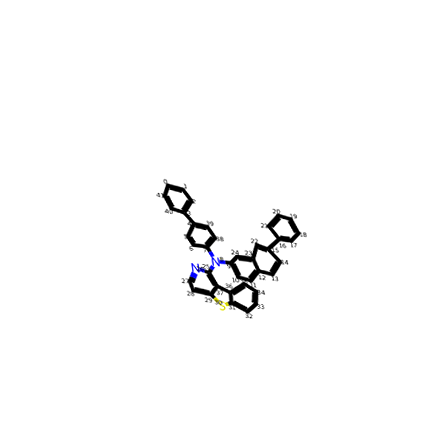 c1ccc(-c2ccc(N(c3ccc4ccc(-c5ccccc5)cc4c3)c3nccc4sc5ccccc5c34)cc2)cc1